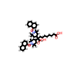 CC1(C)CC(C(CCCCCCCC(=O)O)(C(=O)O)C2CC(C)(C)N(OC3CCCC4CCCCC43)C(C)(C)C2)CC(C)(C)N1OC1CCCC2CCCCC21